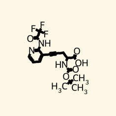 CC(C)(C)OC(=O)NC(CC#Cc1cccnc1NC(=O)C(F)(F)F)C(=O)O